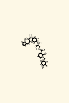 O=C(CNC(=O)c1cccn(Cc2ccc(F)c(F)c2)c1=O)Nc1ccc2c(c1)C(=Cc1cnc[nH]1)C(=O)N2